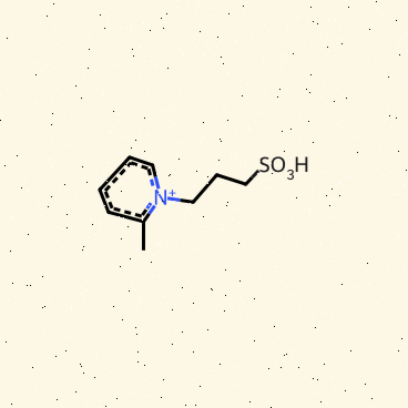 Cc1cccc[n+]1CCCS(=O)(=O)O